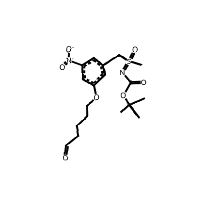 CC(C)(C)OC(=O)N=S(C)(=O)Cc1cc(OCCCCC=O)cc([N+](=O)[O-])c1